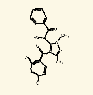 Cc1nn(C)c(C(O)C(=O)c2ccccc2)c1C(=O)c1ccc(Cl)cc1Cl